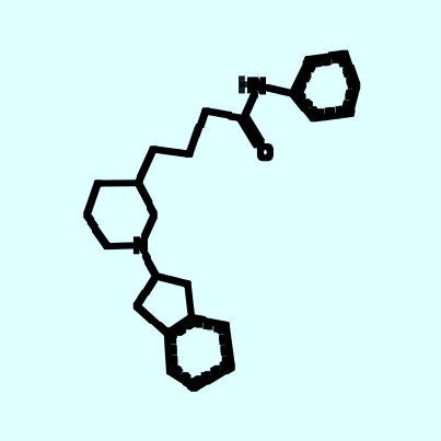 O=C(CCCC1CCCN(C2Cc3ccccc3C2)C1)Nc1ccccc1